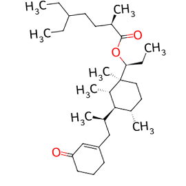 CCC(CC)CC[C@@H](C)C(=O)O[C@@H](CC)[C@@]1(C)CC[C@H](C)[C@@H]([C@H](C)CC2=CC(=O)CCC2)[C@@H]1C